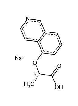 C[C@H](Oc1cccc2cnccc12)C(=O)O.[Na]